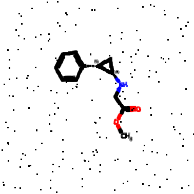 COC(=O)CN[C@@H]1C[C@H]1c1ccccc1